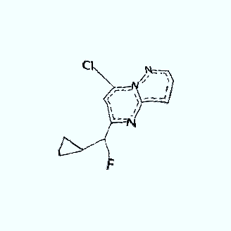 FC(c1cc(Cl)n2nccc2n1)C1CC1